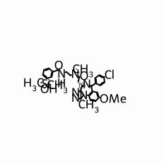 COc1ccc2c(c1)C(c1ccc(Cl)cc1)=N[C@@H](CC(=O)N(C)CCNC(=O)c1cccc([Si](C)(C)O)c1)c1nnc(C)n1-2